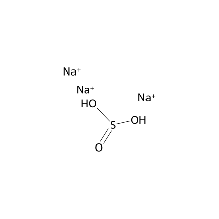 O=S(O)O.[Na+].[Na+].[Na+]